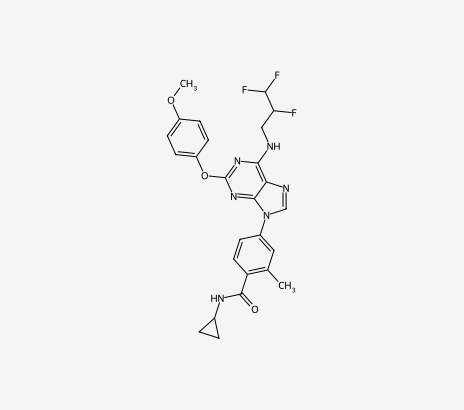 COc1ccc(Oc2nc(NCC(F)C(F)F)c3ncn(-c4ccc(C(=O)NC5CC5)c(C)c4)c3n2)cc1